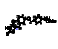 CONc1ccc(COc2cccc(/C=C3/SC(=S)NC3=O)c2)cc1